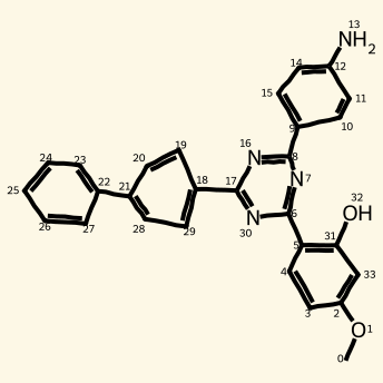 COc1ccc(-c2nc(-c3ccc(N)cc3)nc(-c3ccc(-c4ccccc4)cc3)n2)c(O)c1